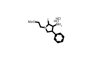 COCCN1CC(c2ccccc2)C(N)C1I.Cl.Cl